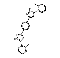 Cc1ccccc1-c1cc(-c2ccc(-c3cc(-c4ccccc4C)[nH]n3)cc2)n[nH]1